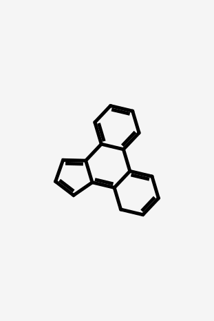 C1=CCc2c3c(c4ccccc4c2=C1)=CC=C3